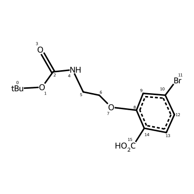 CC(C)(C)OC(=O)NCCOc1cc(Br)ccc1C(=O)O